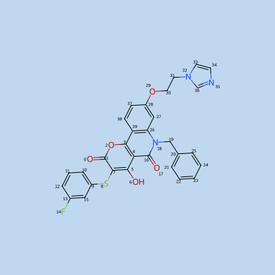 O=c1oc2c(c(O)c1Sc1cccc(F)c1)c(=O)n(Cc1ccccc1)c1cc(OCCn3ccnc3)ccc21